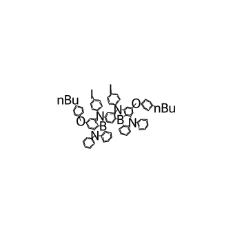 CCCCc1ccc(Oc2cc3c4c(c2)N(c2ccc(I)cc2)c2cc5c(cc2B4c2ccccc2N3c2ccccc2)B2c3ccccc3N(c3ccccc3)c3cc(Oc4ccc(CCCC)cc4)cc(c32)N5c2ccc(I)cc2)cc1